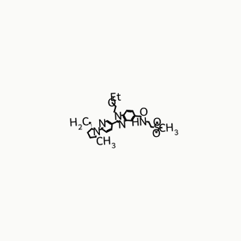 C=C[C@H]1CC[C@H](C)N1c1ccc(-c2nc3cc(C(=O)NCCS(C)(=O)=O)ccc3n2CCOCC)cn1